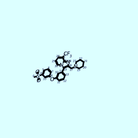 CS(=O)(=O)c1cccc(Oc2cccc(-c3c(CN4CCCCC4)nc4c(C(F)(F)F)cccn34)c2)c1